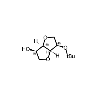 CC(C)(C)O[C@@H]1CO[C@H]2[C@@H]1OC[C@H]2O